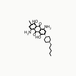 CCCCC[C@H]1CC[C@H](c2cc(N)c3c(c2O)C(=O)c2c(N)cc(C)c(O)c2C3=O)CC1